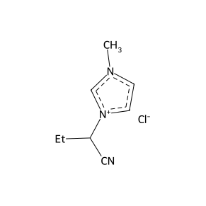 CCC(C#N)[n+]1ccn(C)c1.[Cl-]